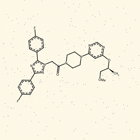 COC[C@H](C)Oc1cc(N2CCN(C(=O)Cn3nc(-c4ccc(F)cc4)nc3-c3ccc(F)cc3)CC2)ncn1